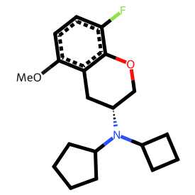 COc1ccc(F)c2c1C[C@@H](N(C1CCCC1)C1CCC1)CO2